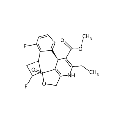 CCC1=C(C(=O)OC)[C@H](c2cccc(F)c2C2CC(F)C2)C2=C(COC2=O)N1